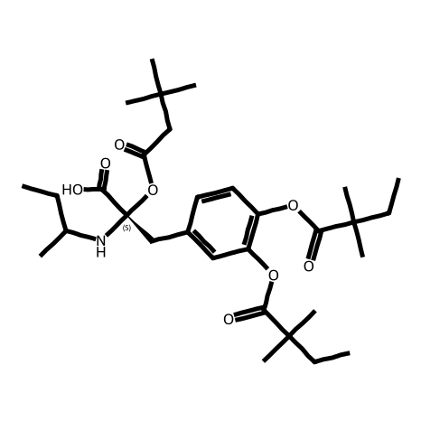 CCC(C)N[C@@](Cc1ccc(OC(=O)C(C)(C)CC)c(OC(=O)C(C)(C)CC)c1)(OC(=O)CC(C)(C)C)C(=O)O